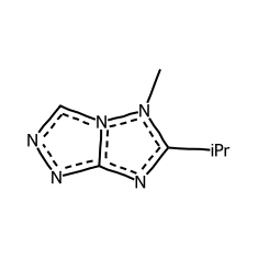 CC(C)c1nc2nncn2n1C